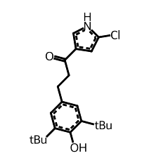 CC(C)(C)c1cc(CCC(=O)c2c[nH]c(Cl)c2)cc(C(C)(C)C)c1O